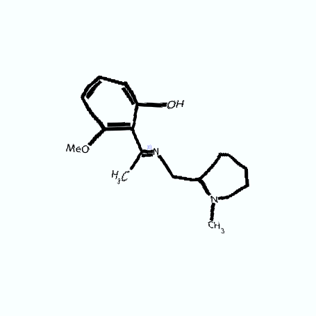 COc1cccc(O)c1/C(C)=N/CC1CCCN1C